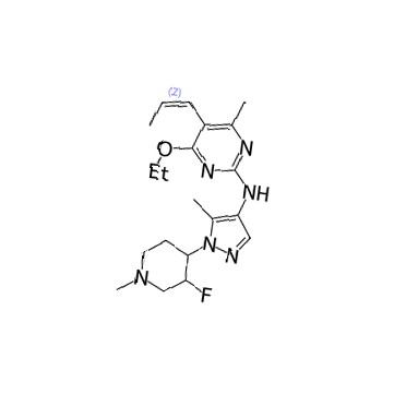 C/C=C\c1c(C)nc(Nc2cnn(C3CCN(C)CC3F)c2C)nc1OCC